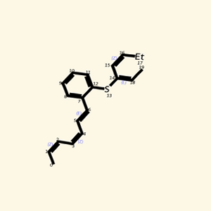 C\C=C/C=C\C=C\c1ccccc1SC(/C=C\CC)=C/C